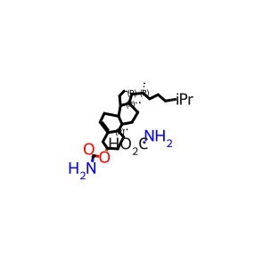 CC(C)CCC[C@@H](C)[C@H]1CCC2C3CC=C4CC(OC(N)=O)CC[C@]4(C)C3CC[C@@]21C.NC(=O)O